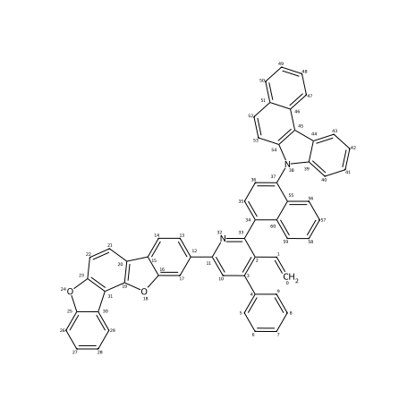 C=Cc1c(-c2ccccc2)cc(-c2ccc3c(c2)oc2c3ccc3oc4ccccc4c32)nc1-c1ccc(-n2c3ccccc3c3c4ccccc4ccc32)c2ccccc12